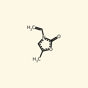 C=Cn1cc(C)oc1=O